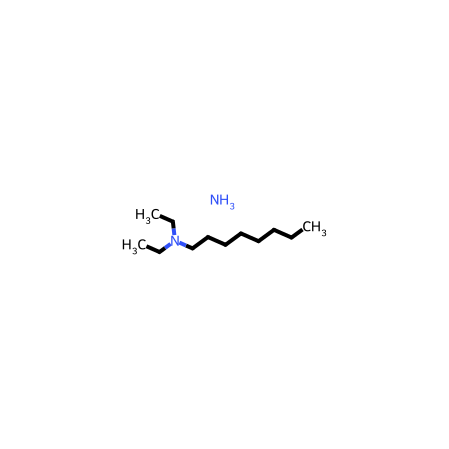 CCCCCCCCN(CC)CC.N